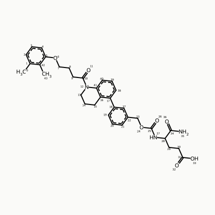 Cc1cccc(OCCCC(=O)N2CCCc3c(-c4cccc(COC(=O)NC(CCC(=O)O)C(N)=O)c4)cccc32)c1C